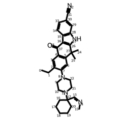 CCc1cc2c(cc1N1CCN(C3(/C=N\C)CCCCC3)CC1)C(C)(C)c1[nH]c3cc(C#N)ccc3c1C2=O